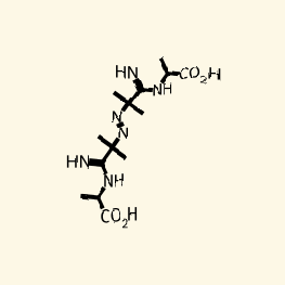 CC(NC(=N)C(C)(C)N=NC(C)(C)C(=N)NC(C)C(=O)O)C(=O)O